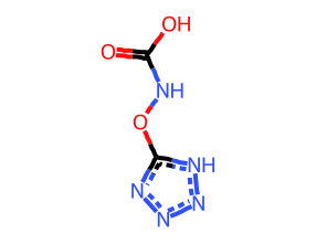 O=C(O)NOc1nnn[nH]1